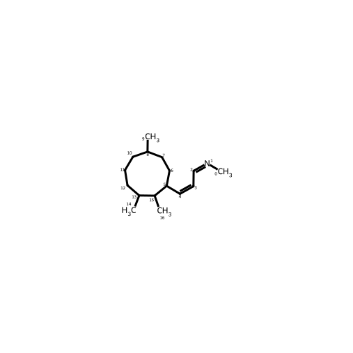 C/N=C\C=C/C1CCC(C)CCCC(C)C1C